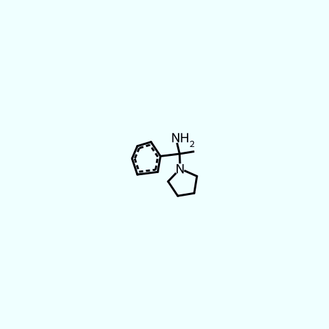 CC(N)(c1ccccc1)N1CCCC1